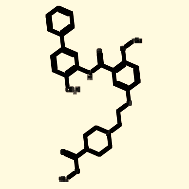 CCCCOc1ccc(OCCN2CCN(C(=O)OC(C)(C)C)CC2)cc1C(=O)Nc1cc(-c2ccccc2)ccc1C(=O)O